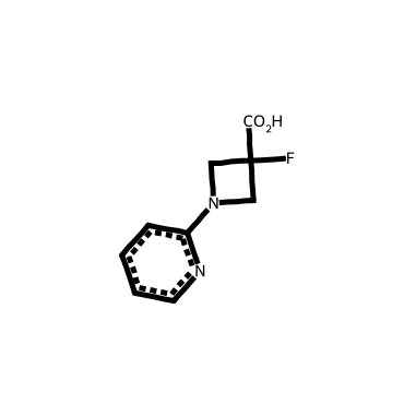 O=C(O)C1(F)CN(c2ccccn2)C1